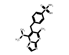 Cc1nc2ncnn2c(N(C)C)c1Cc1ccc(S(=N)(N)=O)cc1